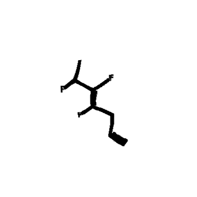 C=CCC(F)=C(F)C(C)F